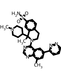 Cc1cc(-c2cccnn2)cc2c(N3CCc4ccc(S(N)(=O)=O)cc4C3(C)C3CCN(C)CC3)ncnc12